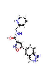 O=C(NCc1ccccn1)c1cc(-c2ccc3[nH]ncc3c2)on1